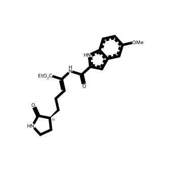 CCOC(=O)C(=CCC[C@H]1CCNC1=O)NC(=O)c1cc2cc(OC)ccc2[nH]1